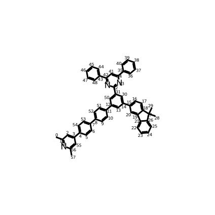 Cc1cc(-c2ccc(-c3ccc(-c4cc(-c5ccc6c(c5)-c5ccccc5C6(C)C)cc(-c5nc(-c6ccccc6)cc(-c6ccccc6)n5)c4)cc3)cc2)cc(C)n1